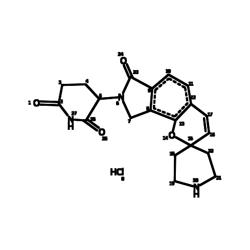 Cl.O=C1CCC(N2Cc3c(ccc4c3OC3(C=C4)CCNCC3)C2=O)C(=O)N1